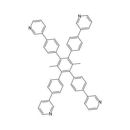 Cc1c(-c2ccc(-c3cccnc3)cc2)c(-c2ccc(-c3cccnc3)cc2)c(C)c(-c2ccc(-c3cccnc3)cc2)c1-c1ccc(-c2cccnc2)cc1